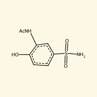 CC(=O)Nc1cc(S(N)(=O)=O)ccc1O